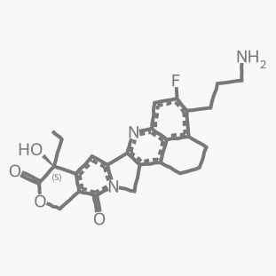 CC[C@@]1(O)C(=O)OCc2c1cc1n(c2=O)Cc2c-1nc1cc(F)c(CCCN)c3c1c2CCC3